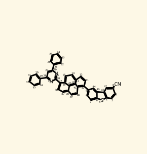 N#Cc1ccc2sc3ccc(-c4ccc5ccc6c(-c7nc(-c8ccccc8)cc(-c8ccccc8)n7)ccc7ccc4c5c76)cc3c2c1